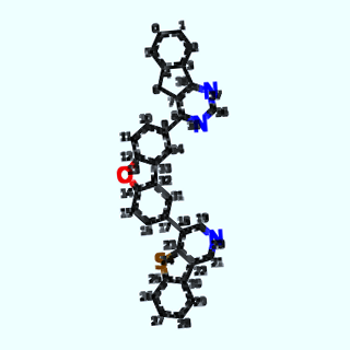 c1ccc2c(c1)Cc1c(-c3ccc4oc5ccc(-c6cncc7c6sc6ccccc67)cc5c4c3)ncnc1-2